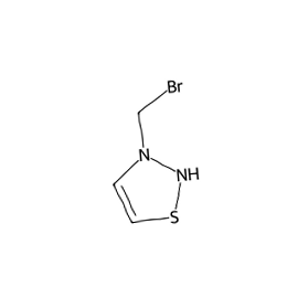 BrCN1C=CSN1